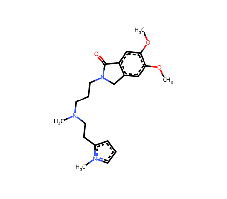 COc1cc2c(cc1OC)C(=O)N(CCCN(C)CCc1cccn1C)C2